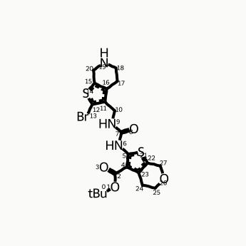 CC(C)(C)OC(=O)c1c(NC(=O)NCc2c(Br)sc3c2CCNC3)sc2c1CCOC2